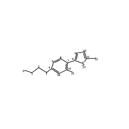 CCCCc1ccc(-c2ccc(C)s2)c(C)c1